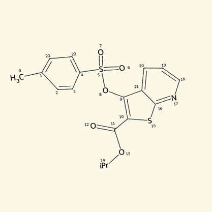 Cc1ccc(S(=O)(=O)Oc2c(C(=O)OC(C)C)sc3ncccc23)cc1